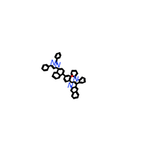 c1ccc(-c2cc(-c3ccc(-c4ccc(-c5nc6cc7ccccc7cc6c6c7ccccc7n(-c7ccccc7)c56)cc4)c4ccccc34)nc(-c3ccccc3)n2)cc1